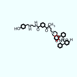 CN(CCN1CCC(OC(=O)N(c2ccccc2-c2ccccc2)N(C(=O)O)c2ccccc2-c2ccccc2)CC1)C(=O)c1cccc(C(=O)NCCNCc2ccc(O)cc2)c1